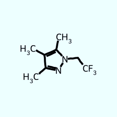 Cc1nn(CC(F)(F)F)c(C)c1C